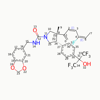 C=C(/C=C\C(F)=C/C)[C@@]1(C)CN(C(=O)NCc2ccc3c(c2)OCO3)C[C@H]1c1ccc(C(O)(C(F)(F)F)C(F)(F)F)cc1